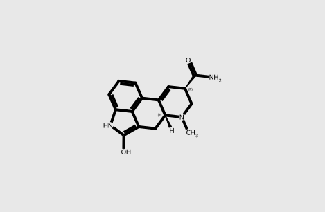 CN1C[C@H](C(N)=O)C=C2c3cccc4[nH]c(O)c(c34)C[C@H]21